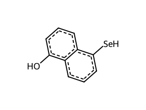 Oc1cccc2c([SeH])cccc12